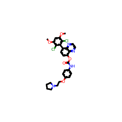 COc1cc(OC)c(Cl)c(-c2ccc(OC(=O)Nc3ccc(OCCN4CCCC4)cc3)c3nccnc23)c1Cl